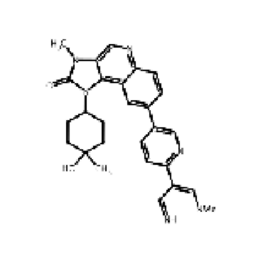 CN/C=C(\C=N)c1ccc(-c2ccc3ncc4c(c3c2)n(C2CCC(C)(O)CC2)c(=O)n4C)cn1